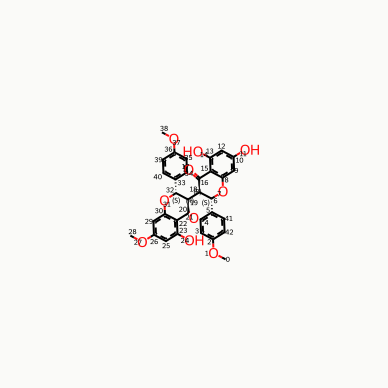 COc1ccc([C@H]2Oc3cc(O)cc(O)c3C(=O)[C@@H]2[C@H]2C(=O)c3c(O)cc(OC)cc3O[C@@H]2c2ccc(OC)cc2)cc1